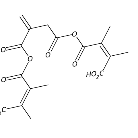 C=C(CC(=O)OC(=O)/C(C)=C(/C)C(=O)O)C(=O)OC(=O)/C(C)=C(/C)C(=O)O